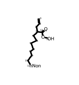 C=CCC(CCCCCCCCCCCCCCCC)C(=O)OO